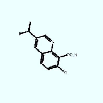 CC(I)c1cnc2c(C(=O)O)c(Cl)ccc2c1